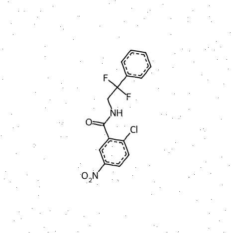 O=C(NCC(F)(F)c1ccccc1)c1cc([N+](=O)[O-])ccc1Cl